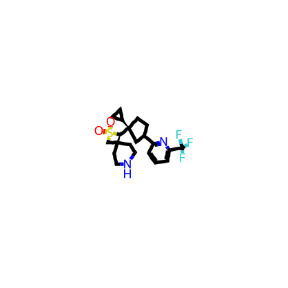 O=S1(=O)CC2(CCNCC2)[C@@H]1[C@]1(C2CC2)CCC(c2cccc(C(F)(F)F)n2)C1